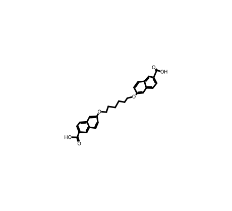 O=C(O)c1ccc2cc(OCCCCCCOc3ccc4cc(C(=O)O)ccc4c3)ccc2c1